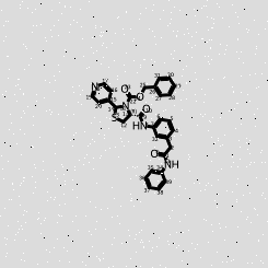 O=C(Cc1cccc(NC(=O)[C@@H]2CSC(c3ccncc3)N2C(=O)OCc2ccccc2)c1)Nc1ccccc1